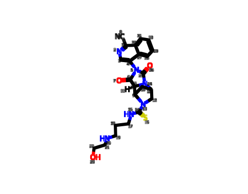 N#Cc1ncc(N2C(=O)[C@@H]3C4CC(CN4C(=S)NCCCNCCO)N3C2=O)c2ccccc12